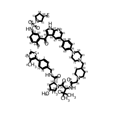 Cc1ncsc1-c1ccc(CNC(=O)[C@@H]2C[C@@H](O)CN2C(=O)C(NC(=O)CN2CCC(CN3CCN(c4ccc(-c5cnc6[nH]cc(C(=O)c7cc(NS(=O)(=O)N8CC[C@@H](F)C8)ccc7F)c6c5)cc4)CC3)CC2)C(C)(C)C)cc1